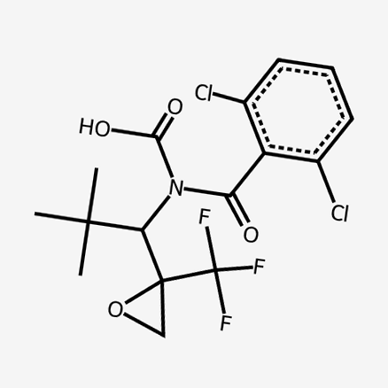 CC(C)(C)C(N(C(=O)O)C(=O)c1c(Cl)cccc1Cl)C1(C(F)(F)F)CO1